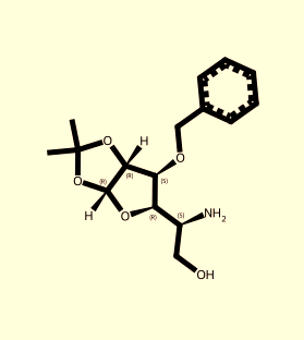 CC1(C)O[C@H]2O[C@H]([C@@H](N)CO)[C@H](OCc3ccccc3)[C@H]2O1